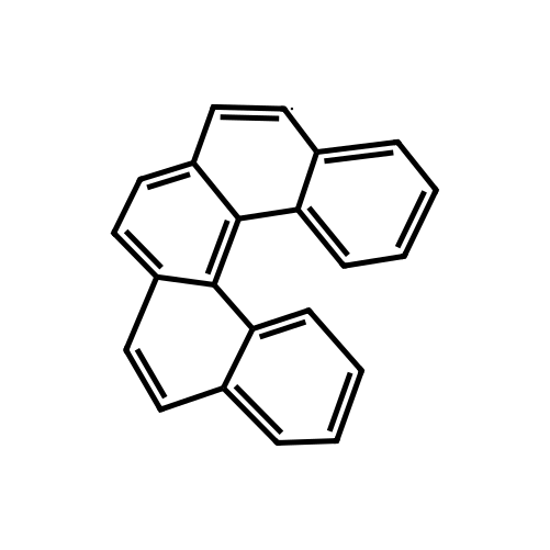 [c]1cc2ccc3ccc4ccccc4c3c2c2ccccc12